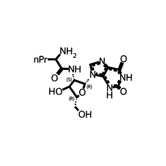 CCCC(N)C(=O)N[C@H]1C(O)[C@@H](CO)O[C@H]1n1cnc2c(=O)[nH]c(=O)[nH]c21